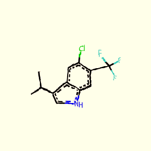 CC(C)c1c[nH]c2cc(C(F)(F)F)c(Cl)cc12